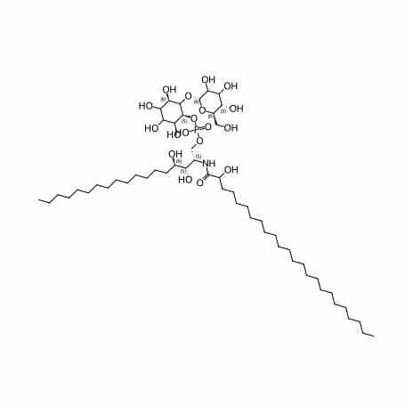 CCCCCCCCCCCCCCCCCCCCCCC(O)C(=O)N[C@@H](COP(=O)(O)O[C@H]1C(O)C(O)C(O)[C@@H](O)C1O[C@H]1O[C@H](CO)[C@@H](O)C(O)C1O)[C@H](O)[C@H](O)CCCCCCCCCCCCCC